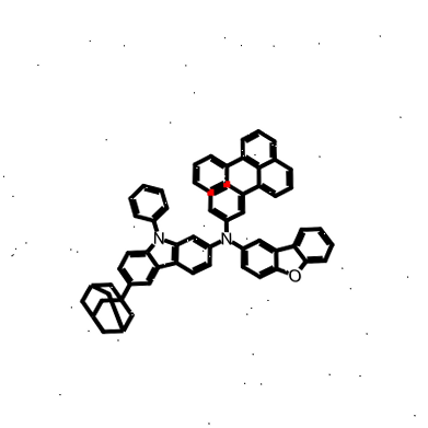 c1ccc(-c2cccc3cccc(-c4cccc(N(c5ccc6oc7ccccc7c6c5)c5ccc6c7cc(C89CC%10CC(CC(C%10)C8)C9)ccc7n(-c7ccccc7)c6c5)c4)c23)cc1